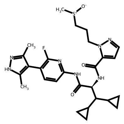 Cc1n[nH]c(C)c1-c1ccc(NC(=O)[C@@H](NC(=O)c2ccnn2CCC[S+](C)[O-])C(C2CC2)C2CC2)nc1F